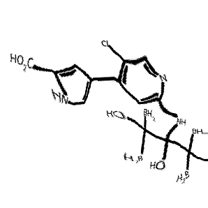 BC(B)(O)C(O)(Nc1cc(-c2c[nH]c(C(=O)O)c2)c(Cl)cn1)C(B)(B)O